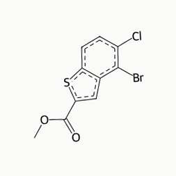 COC(=O)c1cc2c(Br)c(Cl)ccc2s1